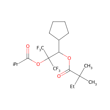 CCC(C)(C)C(=O)OC(C1CCCC1)C(OC(=O)C(C)C)(C(F)(F)F)C(F)(F)F